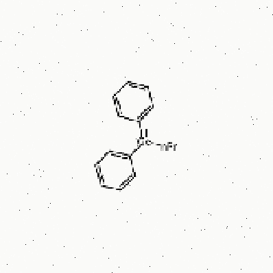 CC[CH2][GeH]([c]1ccccc1)[c]1ccccc1